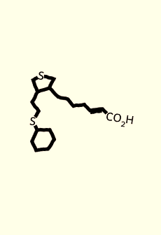 O=C(O)/C=C/CCCCC1CSCC1CCSC1CCCCC1